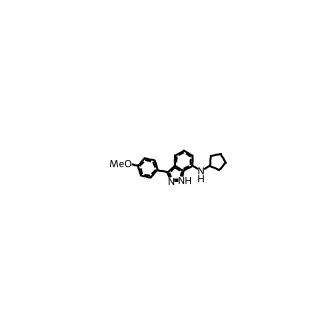 COc1ccc(-c2n[nH]c3c(NC4CCCC4)cccc23)cc1